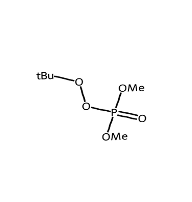 COP(=O)(OC)OOC(C)(C)C